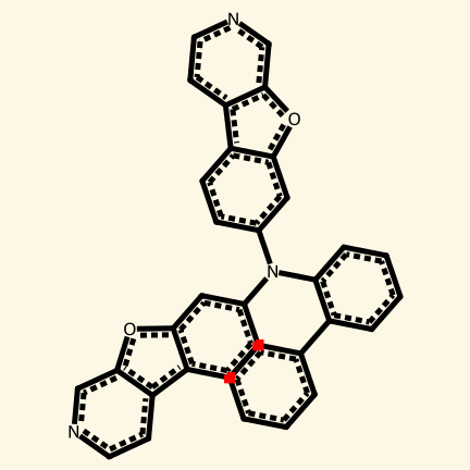 c1ccc(-c2ccccc2N(c2ccc3c(c2)oc2cnccc23)c2ccc3c(c2)oc2cnccc23)cc1